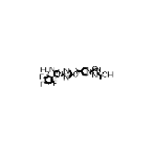 CC(O)c1noc(N2CCC([C@H](C)Oc3cnc(N4C[C@H](c5cc(F)c(F)cc5F)[C@@H](N)C4)nc3)CC2)n1